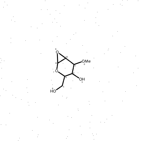 COC1C(O)C(CO)OC2OC21